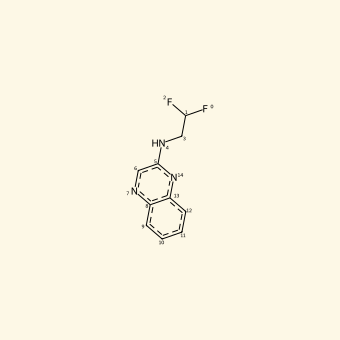 FC(F)CNc1cnc2ccccc2n1